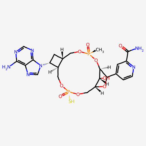 C[P@]1(=O)OC[C@H]2C[C@@H](n3cnc4c(N)ncnc43)[C@@H]2CO[P@@](=O)(S)OC[C@H]2OC(c3ccnc(C(N)=O)c3)[C@H](O1)[C@@H]2O